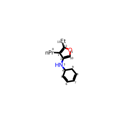 CCCc1c(NC2C=CC=CC2)coc1CC